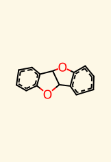 c1ccc2c(c1)OC1c3ccccc3OC21